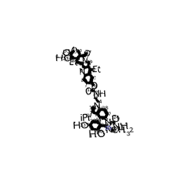 CCc1c2c(nc3ccc(OC(=O)NCCn4ccc5cc(N(C(N)=O)/C(=N\C)c6cc(C(C)C)c(O)cc6O)ccc54)cc13)-c1cc3c(c(=O)n1C2)COC(=O)C3(O)CC